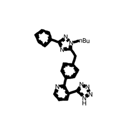 CCCCn1nc(-c2ccccc2)nc1Cc1ccc(-c2ncccc2-c2nnn[nH]2)cc1